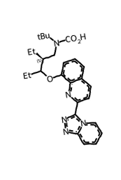 CCC(Oc1cccc2ccc(-c3nnc4ccccn34)nc12)[C@@H](CC)CN(C(=O)O)C(C)(C)C